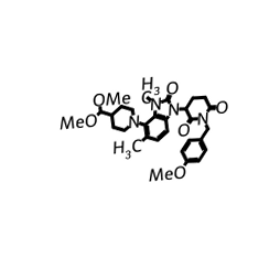 COc1ccc(CN2C(=O)CCC(n3c(=O)n(C)c4c(N5CCC(C(OC)OC)CC5)c(C)ccc43)C2=O)cc1